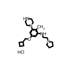 Cc1c(NCCN2CCCC2)cc(OCC2CCC2)cc1N1CCNCC1.Cl